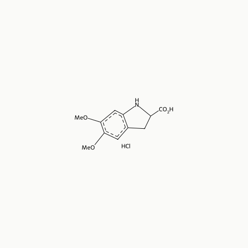 COc1cc2c(cc1OC)NC(C(=O)O)C2.Cl